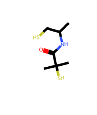 CC(CS)NC(=O)C(C)(C)S